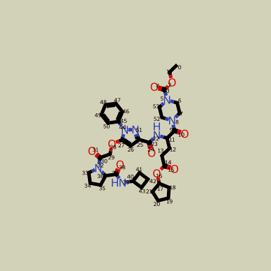 CCOC(=O)N1CCN(C(=O)C(CCC(=O)OC2CCCC2)NC(=O)c2cc(OCC(=O)N3CCCC3C(=O)NC3CCC3)n(-c3ccccc3)n2)CC1